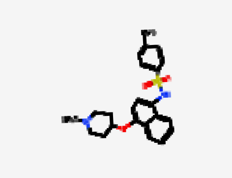 COc1ccc(S(=O)(=O)Nc2ccc(OC3CCN(C(=O)O)CC3)c3ccccc23)cc1